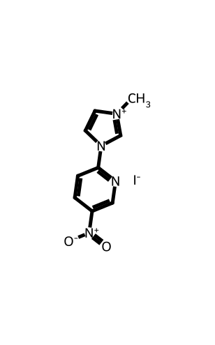 C[n+]1ccn(-c2ccc([N+](=O)[O-])cn2)c1.[I-]